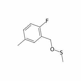 CSOCc1cc(C)ccc1F